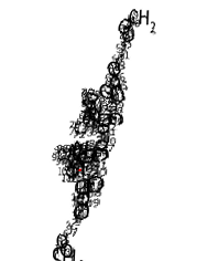 C=CC(=O)OCCCCCCOc1ccc(OC(=O)C2CCC(C(=O)Oc3ccc(-c4ccc(OC(=O)C5CCC(C(=O)Oc6ccc(OCCCCCCOC(=O)C=C)cc6)CC5)c(/C=N/N(CC5CCCCC5)c5nc6ccccc6s5)c4)cc3/C=N/N(CC3CCCCC3)c3nc4ccccc4s3)CC2)cc1